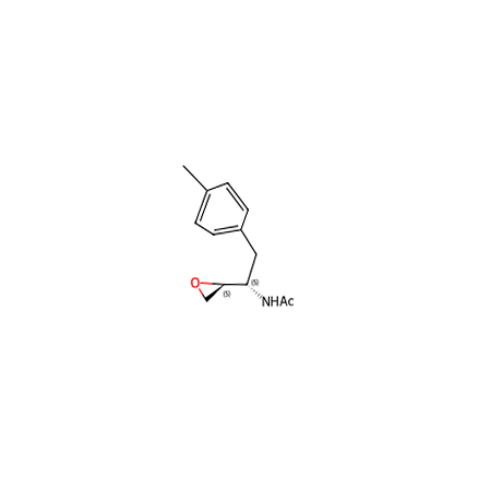 CC(=O)N[C@@H](Cc1ccc(C)cc1)[C@H]1CO1